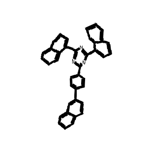 c1ccc2cc(-c3ccc(-c4nc(-c5cccc6ccccc56)nc(-c5cccc6ccccc56)n4)cc3)ccc2c1